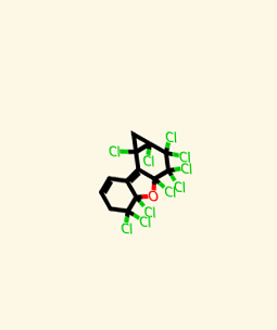 ClC1(Cl)CC=CC2=C3C4(Cl)CC4(Cl)C(Cl)(Cl)C(Cl)(Cl)C3(Cl)OC21Cl